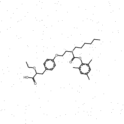 CCCCCCN(CCOc1ccc(CC(OCC)C(=O)O)cc1)C(=O)Oc1c(C)cc(C)cc1C